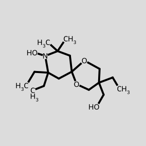 CCC1(CO)COC2(CC(C)(C)N(O)C(CC)(CC)C2)OC1